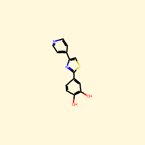 Oc1ccc(-c2nc(-c3ccncc3)cs2)cc1O